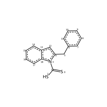 S=C(S)n1c(Cc2ccccc2)cc2ccccc21